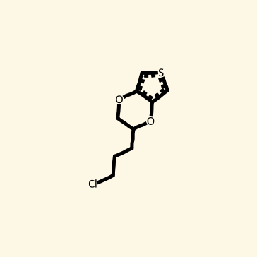 ClCCCC1COc2cscc2O1